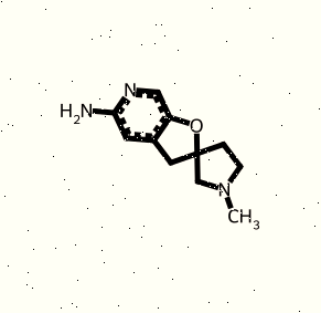 CN1CCC2(Cc3cc(N)ncc3O2)C1